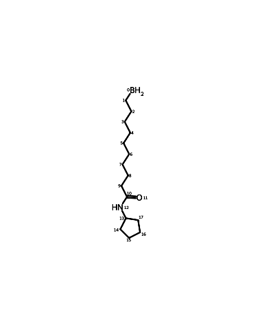 BCCCCCCCCCC(=O)NC1CCCC1